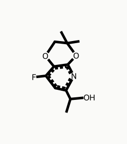 CC(O)c1cc(F)c2c(n1)OC(C)(C)CO2